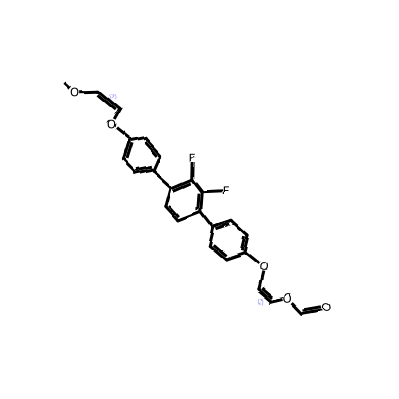 CO/C=C\Oc1ccc(-c2ccc(-c3ccc(O/C=C\OC=O)cc3)c(F)c2F)cc1